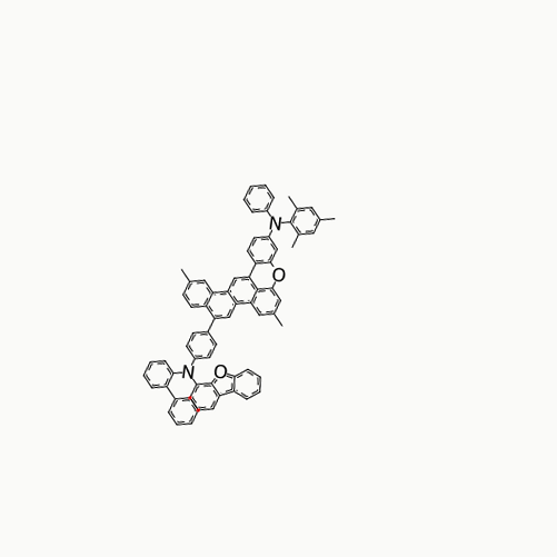 Cc1cc(C)c(N(c2ccccc2)c2ccc3c(c2)Oc2cc(C)cc4c2c-3cc2c3cc(C)ccc3c(-c3ccc(N(c5ccccc5-c5ccccc5)c5cccc6c5oc5ccccc56)cc3)cc42)c(C)c1